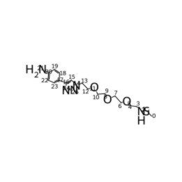 CSNCCOCCOCCOCCn1cc(-c2ccc(N)cc2)nn1